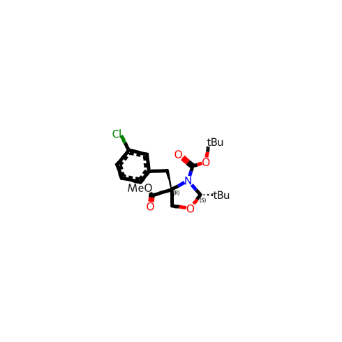 COC(=O)[C@@]1(Cc2cccc(Cl)c2)CO[C@@H](C(C)(C)C)N1C(=O)OC(C)(C)C